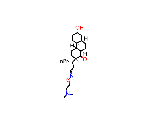 CCC[C@@H](C/C=N/OCCN(C)C)[C@@]1(C)CC[C@H]2[C@@H](CC[C@@H]3C[C@@H](O)CC[C@@]32C)C1=O